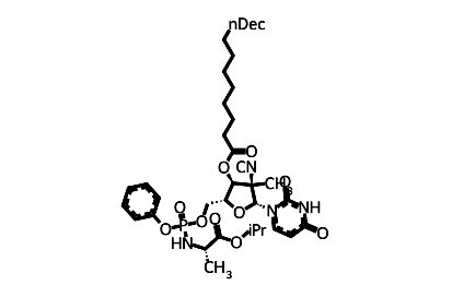 CCCCCCCCCCCCCCCCCC(=O)O[C@@H]1[C@@H](COP(=O)(N[C@@H](C)C(=O)OC(C)C)Oc2ccccc2)O[C@@H](n2ccc(=O)[nH]c2=O)[C@]1(C)C#N